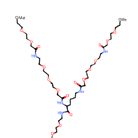 CCOCCOCCNC(=O)C(CCCCNC(=O)COCCOCCOCCNC(=O)COCCOCCOC)NC(=O)COCCOCCOCCNC(=O)COCCOCCOC